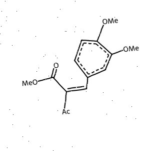 COC(=O)C(=Cc1ccc(OC)c(OC)c1)C(C)=O